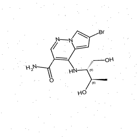 C[C@@H](O)[C@@H](CO)Nc1c(C(N)=O)cnn2cc(Br)cc12